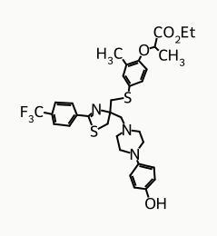 CCOC(=O)C(C)Oc1ccc(SCC2(CN3CCN(c4ccc(O)cc4)CC3)CSC(c3ccc(C(F)(F)F)cc3)=N2)cc1C